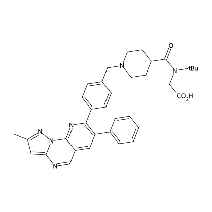 Cc1cc2ncc3cc(-c4ccccc4)c(-c4ccc(CN5CCC(C(=O)N(CC(=O)O)C(C)(C)C)CC5)cc4)nc3n2n1